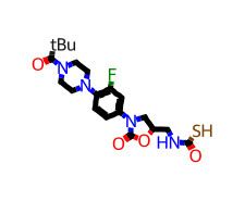 CC(C)(C)C(=O)N1CCN(c2ccc(N3CC(CNC(=O)S)OC3=O)cc2F)CC1